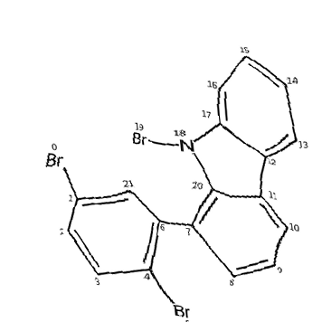 Brc1ccc(Br)c(-c2cccc3c4ccccc4n(Br)c23)c1